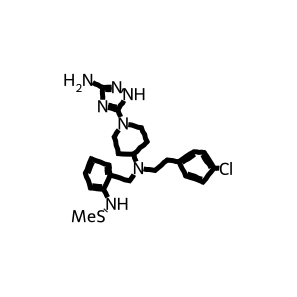 CSNc1ccccc1CN(CCc1ccc(Cl)cc1)C1CCN(c2nc(N)n[nH]2)CC1